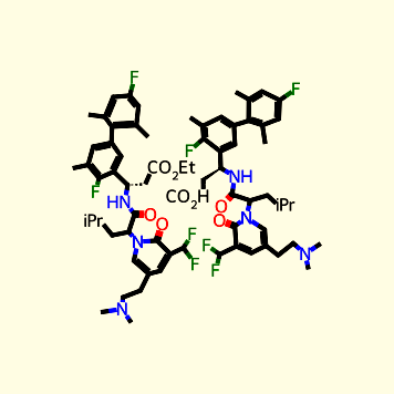 CCOC(=O)C[C@H](NC(=O)C(CC(C)C)n1cc(CCN(C)C)cc(C(F)F)c1=O)c1cc(-c2c(C)cc(F)cc2C)cc(C)c1F.Cc1cc(-c2c(C)cc(F)cc2C)cc([C@H](CC(=O)O)NC(=O)C(CC(C)C)n2cc(CCN(C)C)cc(C(F)F)c2=O)c1F